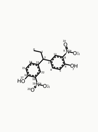 CCC(c1ccc(O)c([N+](=O)[O-])c1)c1ccc(O)c([N+](=O)[O-])c1